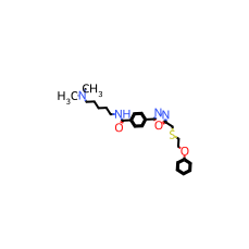 CN(C)CCCCCNC(=O)c1ccc(-c2nnc(CSCCOc3ccccc3)o2)cc1